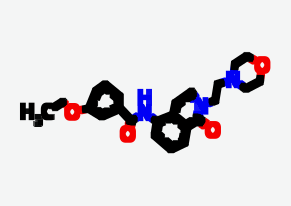 CCOc1cccc(C(=O)Nc2cccc3c(=O)n(CCN4CCOCC4)ccc23)c1